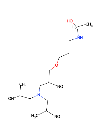 CC(CN(CC(C)N=O)CC(COCCCN[SiH](C)O)N=O)N=O